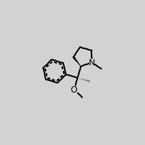 CO[C@@](C)(c1ccccc1)[C@H]1CCCN1C